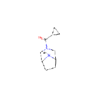 CC(C)N1C2CCC1CN(C(=O)C1CC1)C2